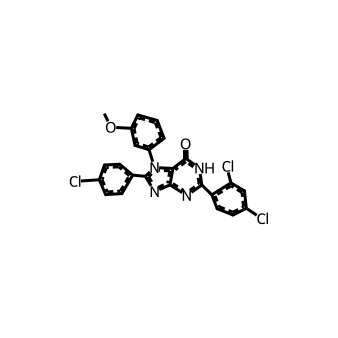 COc1cccc(-n2c(-c3ccc(Cl)cc3)nc3nc(-c4ccc(Cl)cc4Cl)[nH]c(=O)c32)c1